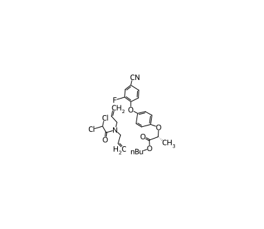 C=CCN(CC=C)C(=O)C(Cl)Cl.CCCCOC(=O)[C@@H](C)Oc1ccc(Oc2ccc(C#N)cc2F)cc1